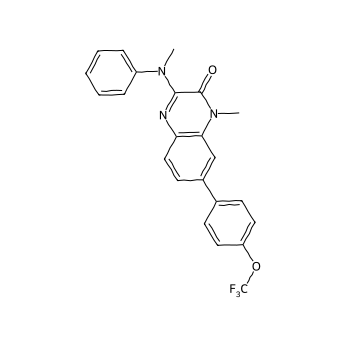 CN(c1ccccc1)c1nc2ccc(-c3ccc(OC(F)(F)F)cc3)cc2n(C)c1=O